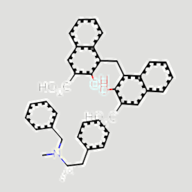 C[C@@H](Cc1ccccc1)N(C)Cc1ccccc1.O=C(O)c1cc2ccccc2c(Cc2c(O)c(C(=O)O)cc3ccccc23)c1O